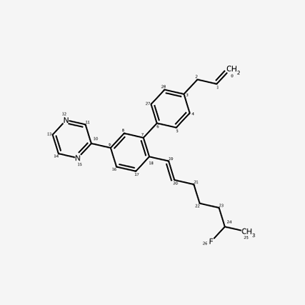 C=CCc1ccc(-c2cc(-c3cnccn3)ccc2C=CCCCC(C)F)cc1